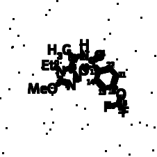 CCn1c(OC)nnc1[C@@H](C)NS(=O)(=O)c1ccc(OC(F)F)cc1